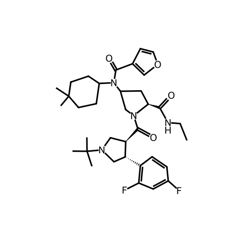 CCNC(=O)[C@@H]1CC(N(C(=O)c2ccoc2)C2CCC(C)(C)CC2)CN1C(=O)[C@@H]1CN(C(C)(C)C)C[C@H]1c1ccc(F)cc1F